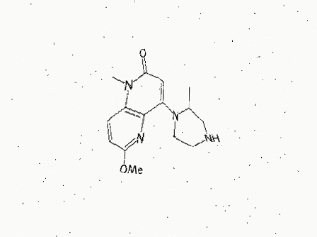 COc1ccc2c(n1)c(N1CCNCC1C)cc(=O)n2C